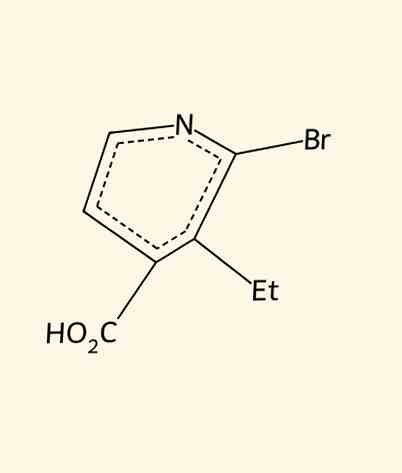 CCc1c(C(=O)O)ccnc1Br